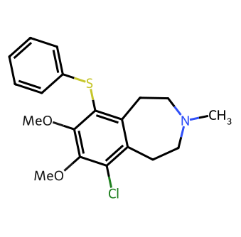 COc1c(Cl)c2c(c(Sc3ccccc3)c1OC)CCN(C)CC2